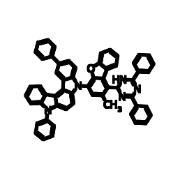 Cc1cc(-n2c3ccc(-c4ccccc4)cc3c3c4c5ccccc5n(-c5ccccc5)c4ccc32)c2oc3ccccc3c2c1C1N=C(c2ccccc2)N=C(c2ccccc2)N1